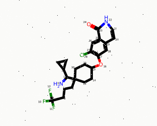 NC(C1CC1)C1(CCCC(F)(F)F)CCC(Oc2cc3cc[nH]c(=O)c3cc2Cl)CC1